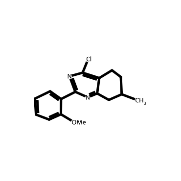 COc1ccccc1-c1nc(Cl)c2c(n1)CC(C)CC2